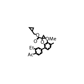 CCc1cc(-c2ccc(C)c(OC)c2OC2(C(=O)OCC3CC3)CC2)ccc1C(C)=O